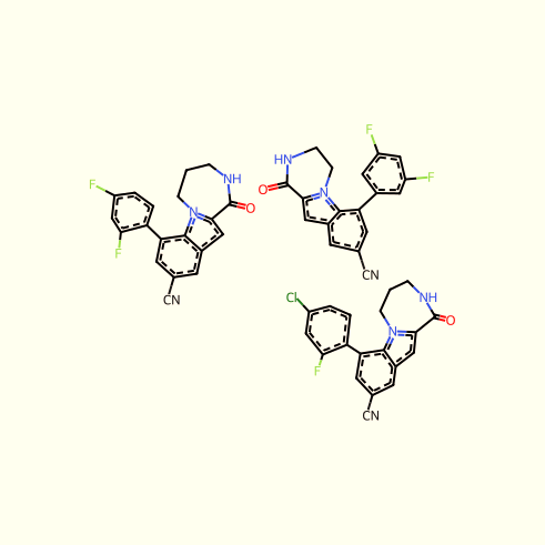 N#Cc1cc(-c2cc(F)cc(F)c2)c2c(c1)cc1n2CCNC1=O.N#Cc1cc(-c2ccc(Cl)cc2F)c2c(c1)cc1n2CCCNC1=O.N#Cc1cc(-c2ccc(F)cc2F)c2c(c1)cc1n2CCCNC1=O